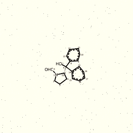 O=CN1CCC[C@H]1C(O)(c1ccccc1)c1ccccc1